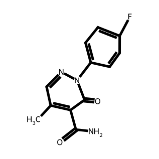 Cc1cnn(-c2ccc(F)cc2)c(=O)c1C(N)=O